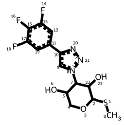 CSC1OCC(O)C(n2cc(-c3cc(F)c(F)c(F)c3)nn2)C1O